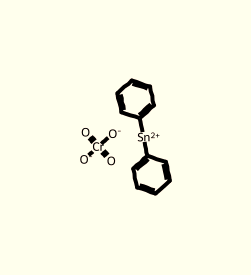 [O]=[Cr](=[O])([O-])[O-].c1cc[c]([Sn+2][c]2ccccc2)cc1